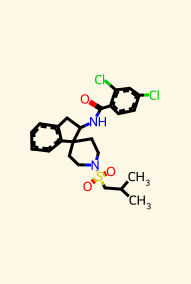 CC(C)CS(=O)(=O)N1CCC2(CC1)c1ccccc1CC2NC(=O)c1ccc(Cl)cc1Cl